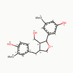 COc1cc(O)cc(C2OCC(Cc3ccc(O)c(OC)c3)C2CO)c1